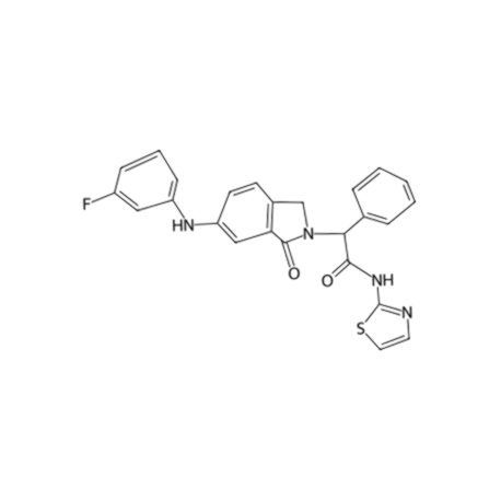 O=C(Nc1nccs1)C(c1ccccc1)N1Cc2ccc(Nc3cccc(F)c3)cc2C1=O